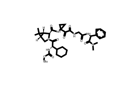 CN(C)C(=O)[C@@H](NC(=O)CNC(=O)C(=O)C1(NC(=O)[C@@H]2[C@@H]3[C@H](CN2C(=O)[C@@H](NC(=O)OC(C)(C)C)C2CCCCC2)C3(C)C)CC1)c1ccccc1